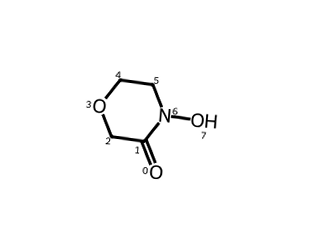 O=C1COCCN1O